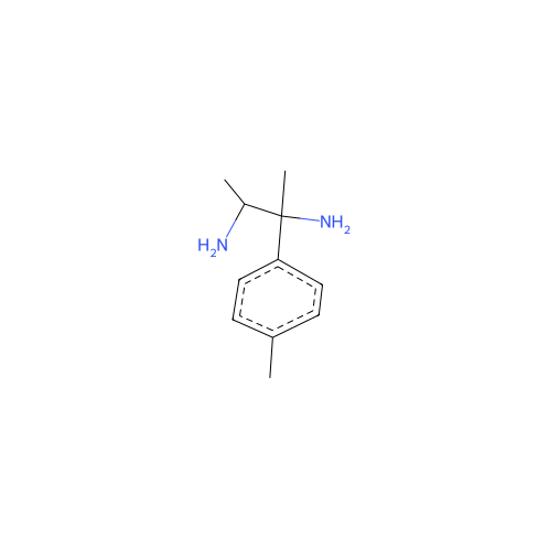 Cc1ccc(C(C)(N)C(C)N)cc1